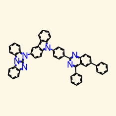 c1ccc(-c2ccc3nc(-c4ccc(-n5c6ccccc6c6cc(-n7c8ccccc8n8c9ccccc9nc78)ccc65)cc4)nc(-c4ccccc4)c3c2)cc1